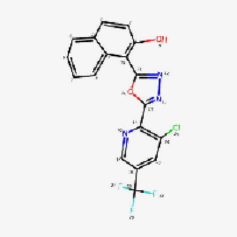 Oc1ccc2ccccc2c1-c1nnc(-c2ncc(C(F)(F)F)cc2Cl)o1